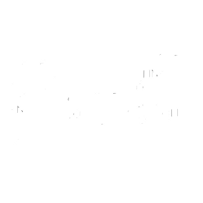 Cc1cc(COc2ccc(S(=O)(=O)C(O)C3CCCCN3)cc2)c2ccccc2n1